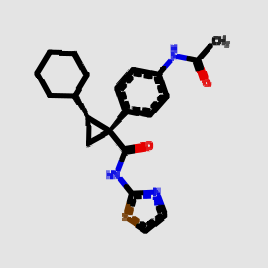 CC(=O)Nc1ccc([C@@]2(C(=O)Nc3nccs3)C[C@H]2C2CCCCC2)cc1